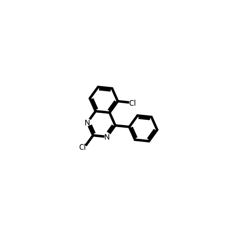 Clc1nc(-c2ccccc2)c2c(Cl)cccc2n1